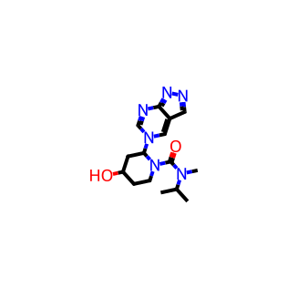 CC(C)N(C)C(=O)N1CCC(O)CC1n1cnc2nncc-2c1